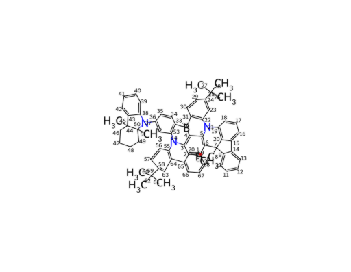 Cc1cc2c3c4c1C1(C)c5ccccc5-c5cccc(c51)N4c1cc(C(C)(C)C)ccc1B3c1ccc(N3c4ccccc4C4(C)CCCCC34C)cc1N2c1ccc(C(C)(C)C)cc1-c1ccccc1